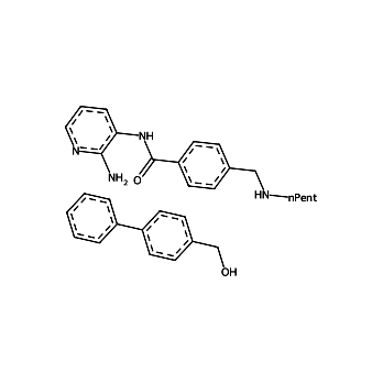 CCCCCNCc1ccc(C(=O)Nc2cccnc2N)cc1.OCc1ccc(-c2ccccc2)cc1